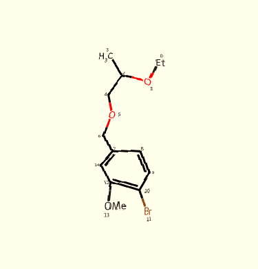 CCOC(C)COCc1ccc(Br)c(OC)c1